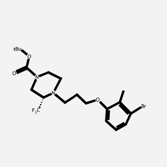 Cc1c(Br)cccc1OCCCN1CCN(C(=O)OC(C)(C)C)C[C@H]1C(F)(F)F